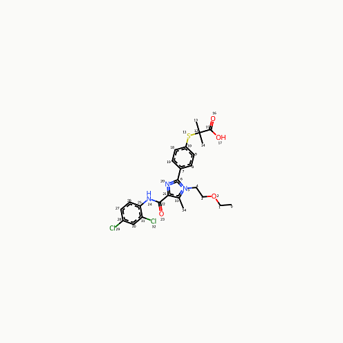 CCOCCn1c(-c2ccc(SC(C)(C)C(=O)O)cc2)nc(C(=O)Nc2ccc(Cl)cc2Cl)c1C